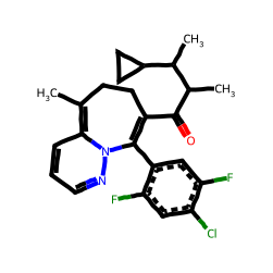 CC1=C2C=CC=NN2C(c2cc(F)c(Cl)cc2F)=C(C(=O)C(C)C(C)C2CC2)CC1